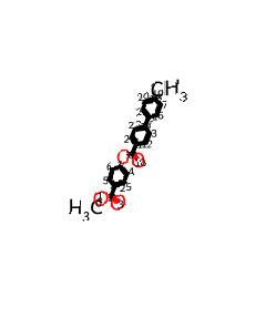 COC(=O)c1ccc(OC(=O)c2ccc(-c3ccc(C)cc3)cc2)cc1